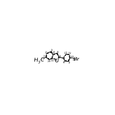 Cc1ccc2cc(-c3ccc(Br)cc3)oc2c1